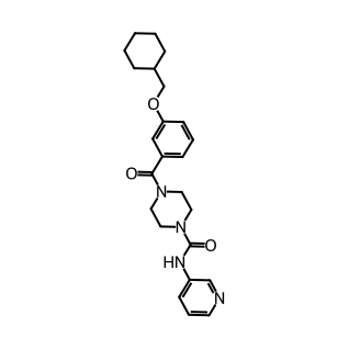 O=C(Nc1cccnc1)N1CCN(C(=O)c2cccc(OCC3CCCCC3)c2)CC1